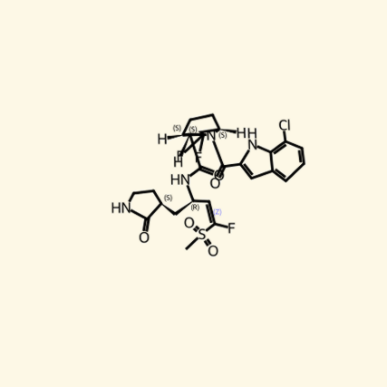 CS(=O)(=O)/C(F)=C\[C@@H](C[C@@H]1CCNC1=O)NC(=O)[C@@H]1[C@@H]2CC[C@@H](CC2(F)F)N1C(=O)c1cc2cccc(Cl)c2[nH]1